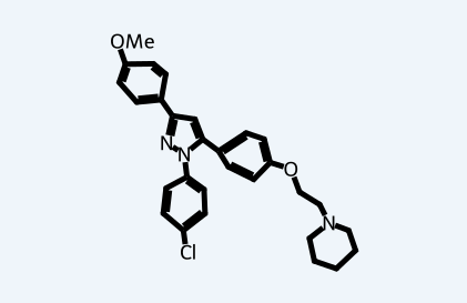 COc1ccc(-c2cc(-c3ccc(OCCN4CCCCC4)cc3)n(-c3ccc(Cl)cc3)n2)cc1